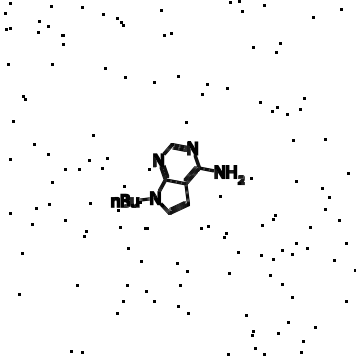 CCCCn1ccc2c(N)ncnc21